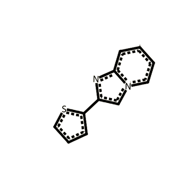 [c]1ccn2cc(-c3cccs3)nc2c1